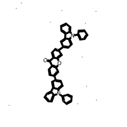 O=c1c2ccc(-c3ccc4c(c3)c3ccccc3n4-c3ccccc3)cc2oc2cc(-c3ccc4c(c3)c3ccccc3n4-c3ccccc3)ccc12